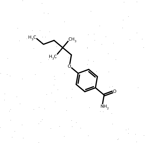 CCCC(C)(C)COc1ccc(C(N)=O)cc1